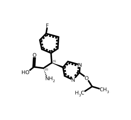 CC(C)Oc1ncc([C@H](c2ccc(F)cc2)[C@H](N)C(=O)O)cn1